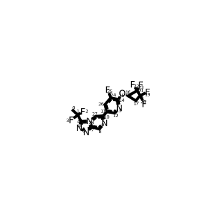 CC(F)(F)c1nnc2cnc(-c3cnc(O[C@H]4CC(F)(F)C4(F)F)c(F)c3)cn12